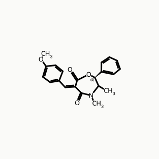 COc1ccc(C=C2C(=O)O[C@@H](c3ccccc3)C(C)N(C)C2=O)cc1